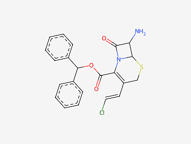 NC1C(=O)N2C(C(=O)OC(c3ccccc3)c3ccccc3)=C(C=CCl)CSC12